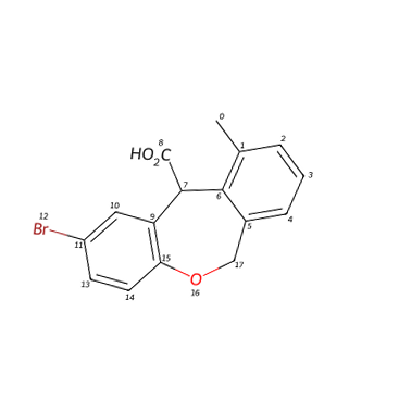 Cc1cccc2c1C(C(=O)O)c1cc(Br)ccc1OC2